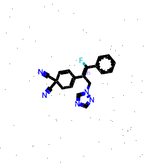 N#CC1(C#N)C=CC(/C(Cn2cncn2)=C(\F)c2ccccc2)=CC1